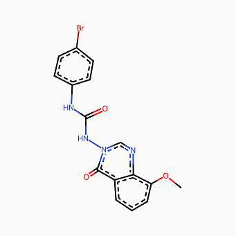 COc1cccc2c(=O)n(NC(=O)Nc3ccc(Br)cc3)cnc12